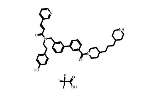 O=C(/C=C/c1cccnc1)N(CCc1ccc(O)cc1)Cc1cccc(-c2cccc(C(=O)N3CCC(CCCC4CCNCC4)CC3)c2)c1.O=C(O)C(F)(F)F